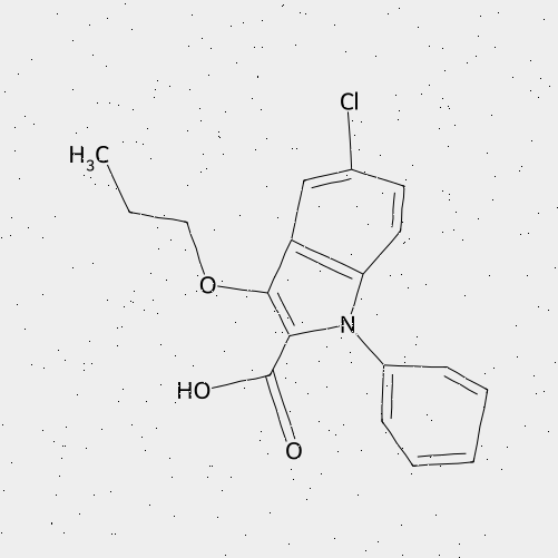 CCCOc1c(C(=O)O)n(-c2ccccc2)c2ccc(Cl)cc12